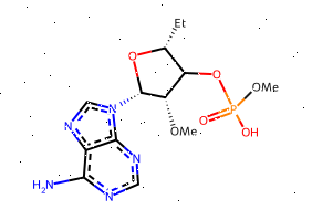 CC[C@H]1O[C@@H](n2cnc3c(N)ncnc32)[C@@H](OC)C1OP(=O)(O)OC